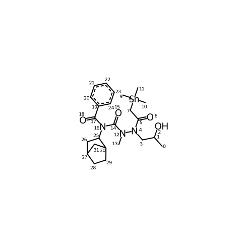 CC(O)CN(C(=O)[CH2][Sn]([CH3])([CH3])[CH3])N(C)C(=O)N(C(=O)c1ccccc1)C1CC2CCC1C2